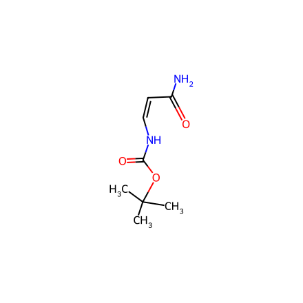 CC(C)(C)OC(=O)N/C=C\C(N)=O